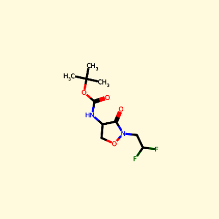 CC(C)(C)OC(=O)NC1CON(CC(F)F)C1=O